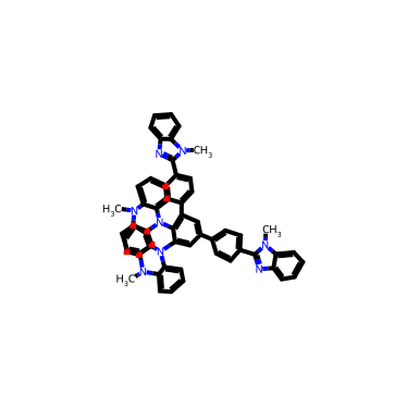 CN1c2ccccc2N(c2cc(-c3ccc(-c4nc5ccccc5n4C)cc3)cc(-c3ccc(-c4nc5ccccc5n4C)cc3)c2N2c3ccccc3N(C)c3ccccc32)c2ccccc21